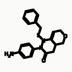 Nc1ccc(N2C(=O)CC3COCC=C3N2SCc2ccccc2)cc1